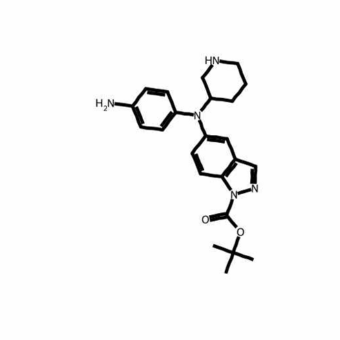 CC(C)(C)OC(=O)n1ncc2cc(N(c3ccc(N)cc3)C3CCCNC3)ccc21